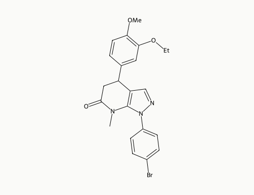 CCOc1cc(C2CC(=O)N(C)c3c2cnn3-c2ccc(Br)cc2)ccc1OC